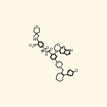 O=C(NS(=O)(=O)c1ccc(NCC2(F)CCOCC2)c([N+](=O)[O-])c1)c1ccc(N2CCN(C/C3=C(\c4ccc(Cl)cc4)CCCCCC3)CC2)cc1N1CCOc2nc3[nH]ccc3cc21